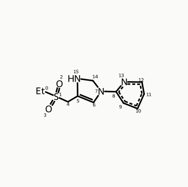 CCS(=O)(=O)CC1=CN(c2ccccn2)CN1